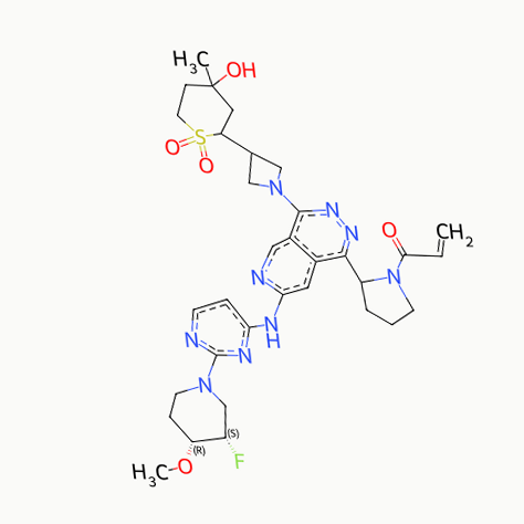 C=CC(=O)N1CCCC1c1nnc(N2CC(C3CC(C)(O)CCS3(=O)=O)C2)c2cnc(Nc3ccnc(N4CC[C@@H](OC)[C@@H](F)C4)n3)cc12